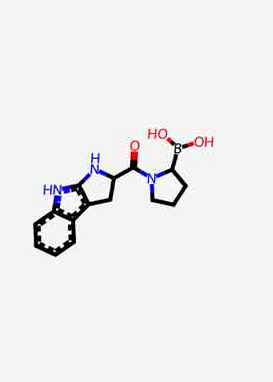 O=C(C1Cc2c([nH]c3ccccc23)N1)N1CCCC1B(O)O